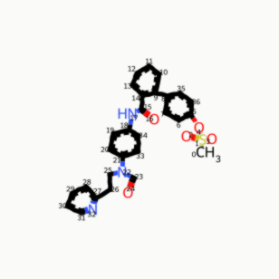 CS(=O)(=O)Oc1ccc(-c2ccccc2C(=O)Nc2ccc(N(C=O)CCc3ccccn3)cc2)cc1